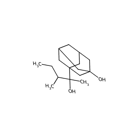 CCC(C)C(C)(O)C12CC3CC(CC(O)(C3)C1)C2